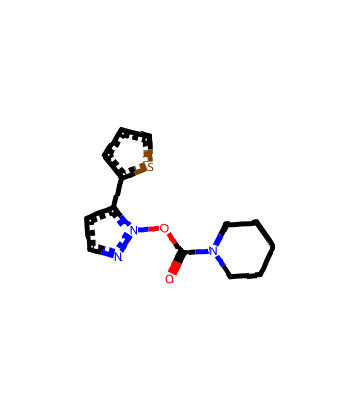 O=C(On1nccc1-c1cccs1)N1CCCCC1